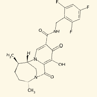 C[C@@H]1CC[C@@H](C)N2C[C@H]1n1cc(C(=O)NCc3c(F)cc(F)cc3F)c(=O)c(O)c1C2=O